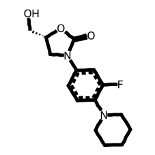 O=C1O[C@@H](CO)CN1c1ccc(N2CCCCC2)c(F)c1